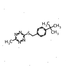 Cc1nnc(SCc2ccc(C(C)(C)C)cc2)nn1